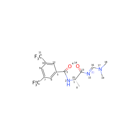 C[C@H](NC(=O)c1cc(C(F)(F)F)cc(C(F)(F)F)c1)C(=O)/N=C/N(C)C